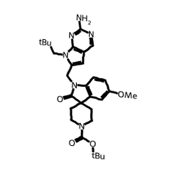 COc1ccc2c(c1)C1(CCN(C(=O)OC(C)(C)C)CC1)C(=O)N2Cc1cc2cnc(N)nc2n1CC(C)(C)C